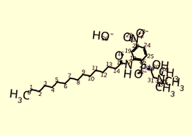 CCCCCCCCCCCCCCCC(=O)Nc1cc([N+](=O)[O-])ccc1/[P+]([O-])=C(\O)C[N+](C)(C)C.[OH-]